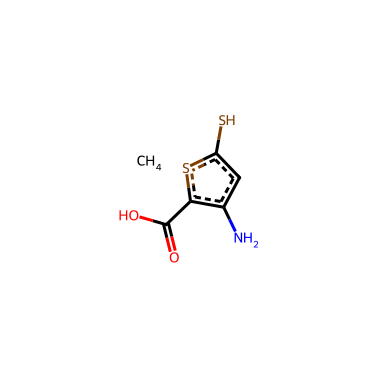 C.Nc1cc(S)sc1C(=O)O